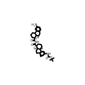 CC(C)(C)OC(=O)Nc1ccc2c(c1)[C@@]1(C)CCC[C@](C)(C(=O)NC(=O)[C@@]3(C)CCCC4c5cc(N)ccc5CC[C@H]43)[C@@H]1CC2